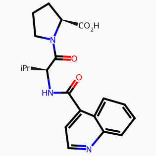 CC(C)[C@H](NC(=O)c1ccnc2ccccc12)C(=O)N1CCC[C@H]1C(=O)O